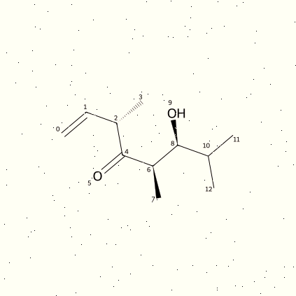 C=C[C@H](C)C(=O)[C@H](C)[C@@H](O)C(C)C